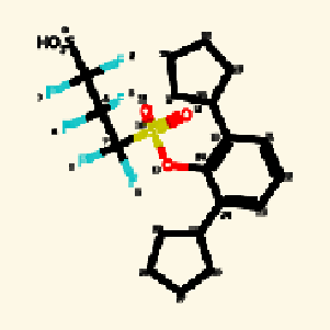 O=S(=O)(O)C(F)(F)C(F)(F)C(F)(F)S(=O)(=O)Oc1c(C2CCCC2)cccc1C1CCCC1